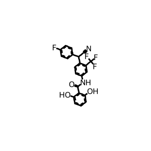 N#CC(c1ccc(F)cc1)c1ccc(NC(=O)c2c(O)cccc2O)cc1C(F)(F)F